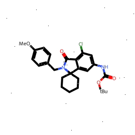 COc1ccc(CN2C(=O)c3c(Cl)cc(NC(=O)OC(C)(C)C)cc3C23CCCCC3)cc1